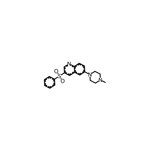 CN1CCN(c2ccc3ncc(S(=O)(=O)c4ccccc4)cc3c2)CC1